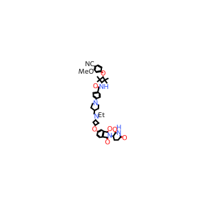 CCN(CC1CCN(c2ccc(C(=O)N[C@H]3C(C)(C)[C@H](Oc4ccc(C#N)c(OC)c4)C3(C)C)cc2)CC1)[C@H]1C[C@H](Oc2ccc3c(c2)C(=O)N(C2CCC(=O)NC2=O)C3=O)C1